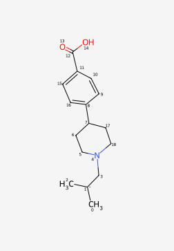 C[C](C)CN1CCC(c2ccc(C(=O)O)cc2)CC1